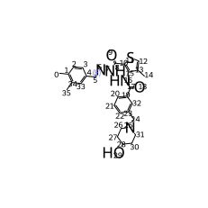 Cc1ccc(/C=N/NC(=O)c2scc(C)c2NC(=O)c2cccc(CN3CCC(O)CC3)c2)cc1C